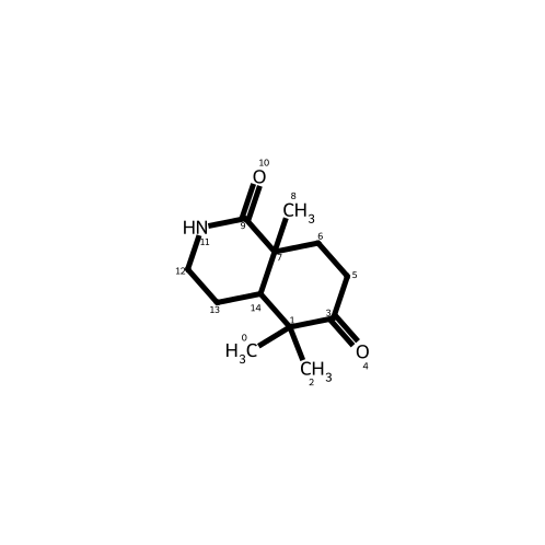 CC1(C)C(=O)CCC2(C)C(=O)NCCC12